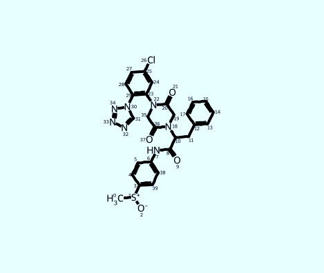 C[S+]([O-])c1ccc(NC(=O)C(Cc2ccccc2)N2CC(=O)N(c3cc(Cl)ccc3-n3cnnn3)CC2=O)cc1